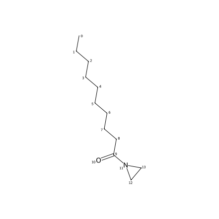 CCCCCCCCCC(=O)N1CC1